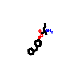 CCCC(C)(N)C(=O)OOc1ccc(Cc2ccccc2)cc1